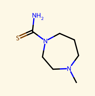 CN1CCCN(C(N)=S)CC1